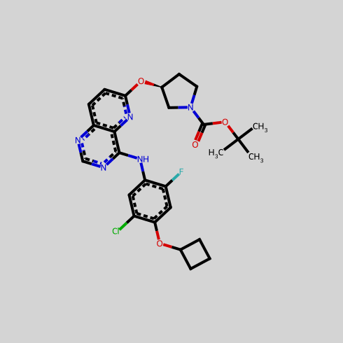 CC(C)(C)OC(=O)N1CC[C@H](Oc2ccc3ncnc(Nc4cc(Cl)c(OC5CCC5)cc4F)c3n2)C1